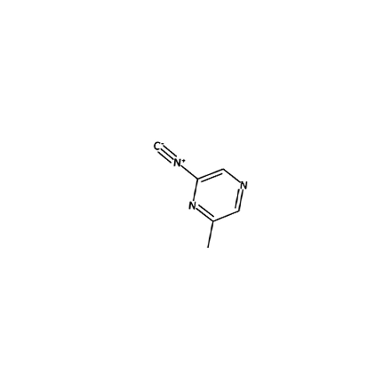 [C-]#[N+]c1cncc(C)n1